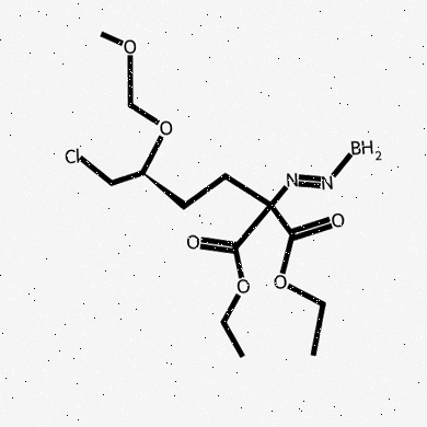 BN=NC(CC[C@@H](CCl)OCOC)(C(=O)OCC)C(=O)OCC